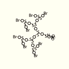 O=[N+]([O-])c1ccc(SCc2ccc(C(SCc3ccc(C(SCc4ccc(C(Sc5ccc(Br)cc5)Sc5ccc(Br)cc5)cc4)SCc4ccc(C(Sc5ccc(Br)cc5)Sc5ccc(Br)cc5)cc4)cc3)SCc3ccc(C(SCc4ccc(C(Sc5ccc(Br)cc5)Sc5ccc(Br)cc5)cc4)SCc4ccc(C(Sc5ccc(Br)cc5)Sc5ccc(Br)cc5)cc4)cc3)cc2)nc1